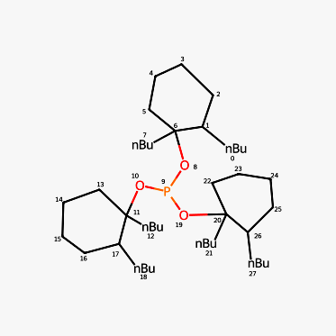 CCCCC1CCCCC1(CCCC)OP(OC1(CCCC)CCCCC1CCCC)OC1(CCCC)CCCCC1CCCC